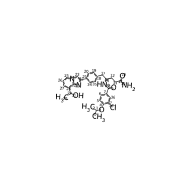 CC(C)Oc1ccc(C(=O)N[C@H](CCC(N)=O)Cc2ccc(-c3cn4cccc(C(C)O)c4n3)cc2)cc1Cl